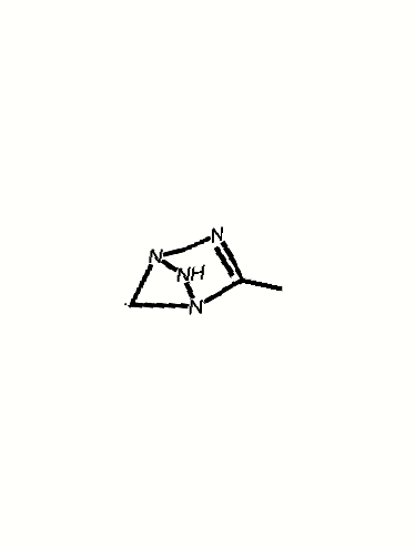 CC1=NN2[CH]N1N2